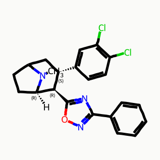 CN1C2CC[C@@H]1[C@H](c1nc(-c3ccccc3)no1)[C@@H](c1ccc(Cl)c(Cl)c1)C2